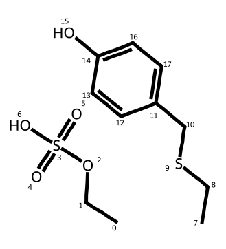 CCOS(=O)(=O)O.CCSCc1ccc(O)cc1